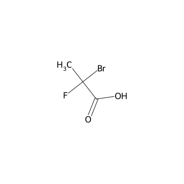 CC(F)(Br)C(=O)O